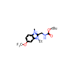 CCn1c(CNC(=O)OC(C)(C)C)[n+](C)c2ccc(OC(F)(F)F)cc21